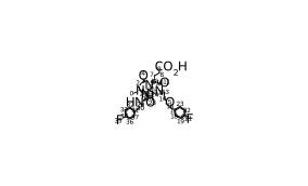 CN1CC(=O)N2[C@@H](CCC(=O)O)C(=O)N(CCOCc3ccc(F)cc3)C[C@@H]2N1C(=O)NCc1ccc(F)cc1